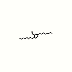 [CH]=Cc1cc(CCCCCCCC)[c]cc1CCCCCCCC